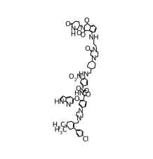 CC1(C)CCC(CN2CCN(c3ccc(C(=O)NS(=O)(=O)c4ccc(NCC5CCC(N6CCN(CCCNc7cccc8c7C(=O)N(C7CCC(=O)NC7=O)C8=O)C(=O)C6)CC5)c([N+](=O)[O-])c4)c(Oc4cnc5[nH]ccc5c4)c3)CC2)=C(c2ccc(Cl)cc2)C1